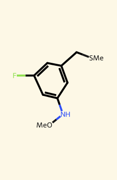 CONc1cc(F)cc(CSC)c1